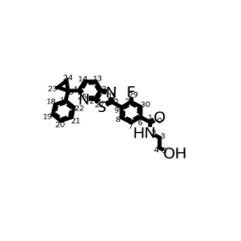 O=C(NCCO)c1ccc(-c2nc3ccc(C4(c5ccccc5)CC4)nc3s2)c(F)c1